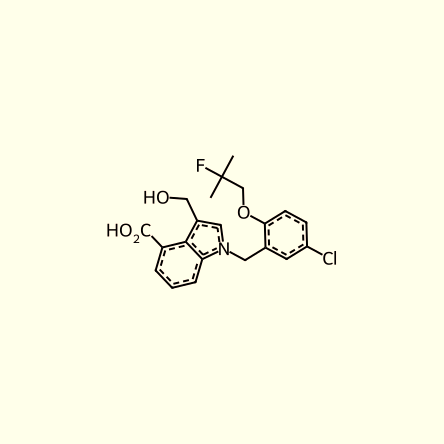 CC(C)(F)COc1ccc(Cl)cc1Cn1cc(CO)c2c(C(=O)O)cccc21